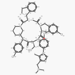 Cc1c(CN(C)C)ncn1-c1ccc(Oc2cc(Cl)ccc2CN2C(=O)C[C@@H]([C@@H]3CCc4ccccc43)C(=O)N3CCC[C@@](Cc4ccc(Cl)cc4)(C3)NC(=O)[C@H](CO)NC(=O)[C@@H]2C)cc1